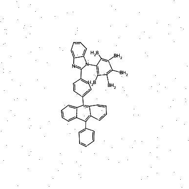 Bc1c(B)c(B)c(-n2c(-c3ccc(-c4c5ccccc5c(-c5ccccc5)c5ccccc45)cc3)nc3ccccc32)c(B)c1B